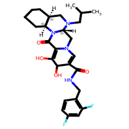 CC(C)CN1C[C@@H]2CCCC[C@@H]2N2C(=O)C3=C(O)C(O)C(C(=O)NCc4ccc(F)cc4F)=CN3C[C@@H]12